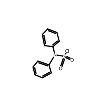 O=S(=O)(Cl)N(c1ccccc1)c1ccccc1